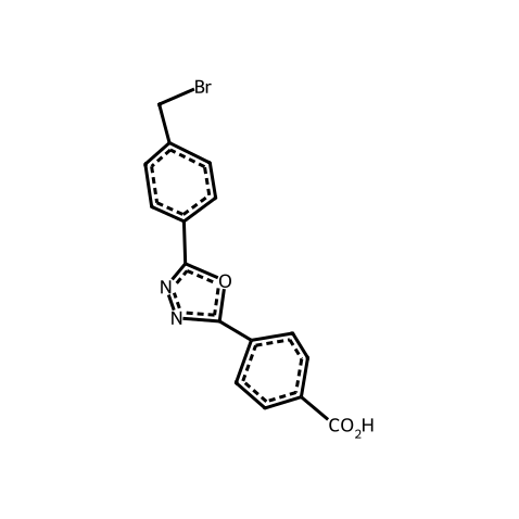 O=C(O)c1ccc(-c2nnc(-c3ccc(CBr)cc3)o2)cc1